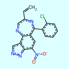 C=Cc1cnc2c(cc([N+](=O)[O-])c3nncc32)c(-c2ccccc2Cl)n1